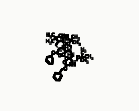 CC(C)(C)OC[C@H](NC(=O)OCc1ccccc1)C(=O)N[C@@H](COC(C)(C)C)C(=O)N[C@@H](CC(C(=O)O)C(C)(C)C)C(=O)Oc1ccccc1